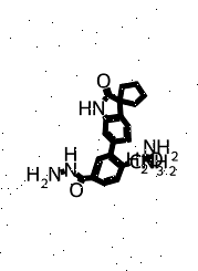 Cc1ccc(C(=O)NN)cc1-c1ccc2c(c1)NC(=O)C21CCCC1.NN.O